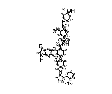 CC(C)c1ccccc1[C@H]1CCC[C@H]1N1CC2(CCN(c3ccc(C(=O)NS(=O)(=O)c4cnc(NC[C@H]5CC[C@](C)(O)CC5)c(N=O)c4)c(Oc4cc5c(F)c[nH]c5nc4C4CC4)c3)CC2)C1